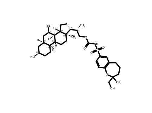 C[C@H](COC(=O)NS(=O)(=O)c1ccc2c(c1)CCCC(C)(CO)O2)[C@H]1CC[C@H]2[C@@H]3[C@H](O)C[C@@H]4C[C@H](O)CC[C@]4(C)[C@H]3CC[C@]12C